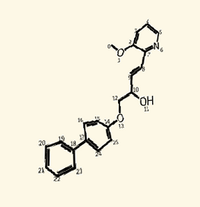 COc1cccnc1C=CC(O)COc1ccc(-c2ccccc2)cc1